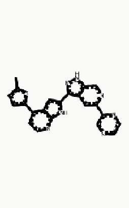 Cc1ccc(-c2ccnc3[nH]c(-c4n[nH]c5cnc(-c6cnccn6)cc45)cc23)s1